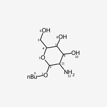 CCCCOC1OC(CO)C(O)C(O)C1N